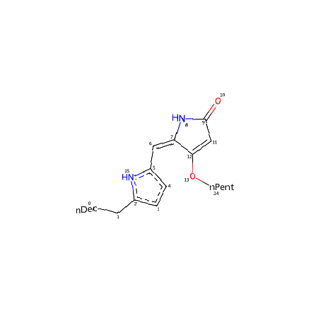 CCCCCCCCCCCc1ccc(C=C2NC(=O)C=C2OCCCCC)[nH]1